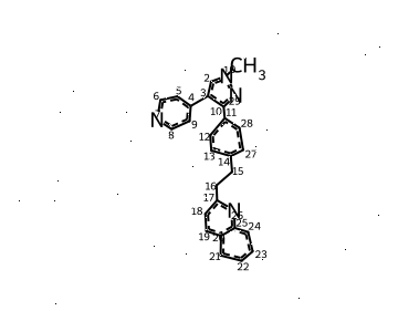 Cn1cc(-c2ccncc2)c(-c2ccc(CCc3ccc4ccccc4n3)cc2)n1